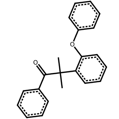 CC(C)(C(=O)c1ccccc1)c1ccccc1Oc1ccccc1